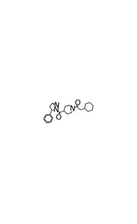 O=C(CC1CCCCC1)N1CCC(C(=O)N2N=CCC2c2ccccc2)CC1